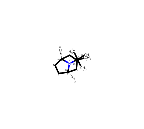 C[C@H]1C[C@H]2CC[C@@H](C1)N2C(C)(C)C